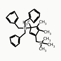 CC1=C(C)[C](C)([Ti]([CH2]c2ccccc2)([CH2]c2ccccc2)[CH2]c2ccccc2)C=C1C[Si](C)(C)C